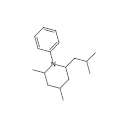 CC(C)CC1CC(C)CC(C)N1c1ccccc1